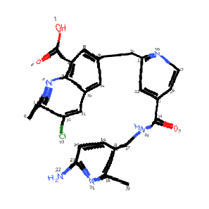 Cc1nc2c(C(=O)O)cc(Cc3cc(C(=O)NCc4ccc(N)nc4C)ccn3)cc2cc1Cl